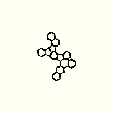 c1ccc(-c2nc3ccccc3nc2-n2c3ccccc3c3c4c5ccc6ccccc6c5n5c6ccccc6c(cc32)c45)cc1